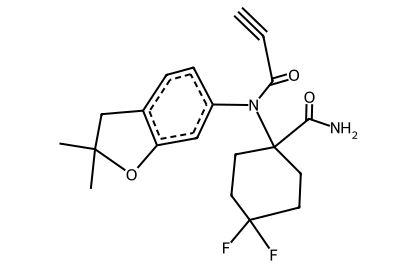 C#CC(=O)N(c1ccc2c(c1)OC(C)(C)C2)C1(C(N)=O)CCC(F)(F)CC1